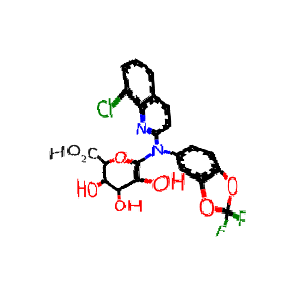 O=C(O)C1OC(N(c2ccc3c(c2)OC(F)(F)O3)c2ccc3cccc(Cl)c3n2)C(O)C(O)C1O